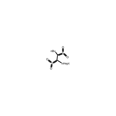 CCCCCCCC(C(CCCC)=S(=O)=O)=S(=O)=O